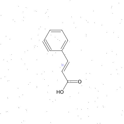 O=C(O)/C=C/c1c#cccc1